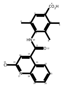 Cc1cc(C(=O)O)c(C)c(C)c1NC(=O)c1cc(Cl)nc2ccccc12